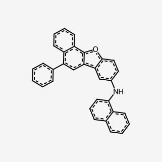 c1ccc(-c2cc3c4cc(Nc5cccc6ccccc56)ccc4oc3c3ccccc23)cc1